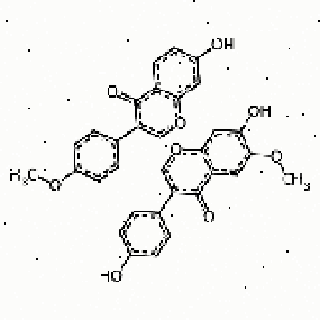 COc1cc2c(=O)c(-c3ccc(O)cc3)coc2cc1O.COc1ccc(-c2coc3cc(O)ccc3c2=O)cc1